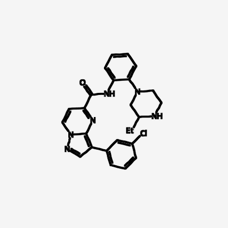 CCC1CN(c2ccccc2NC(=O)c2ccn3ncc(-c4cccc(Cl)c4)c3n2)CCN1